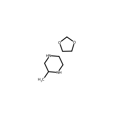 C1COCO1.CC1CNCCN1